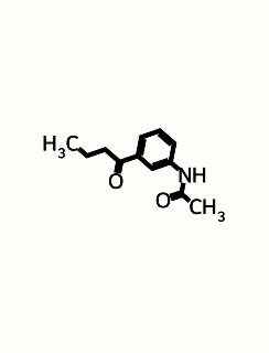 CCCC(=O)c1cccc(NC(C)=O)c1